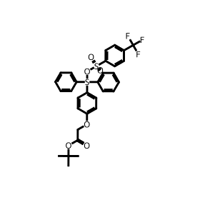 CC(C)(C)OC(=O)COc1ccc(S(OS(=O)(=O)c2ccc(C(F)(F)F)cc2)(c2ccccc2)c2ccccc2)cc1